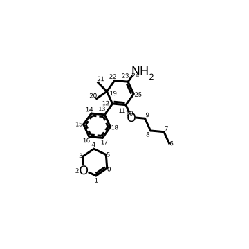 C1=COCCC1.CCCCOC1=C(c2ccccc2)C(C)(C)CC(N)=C1